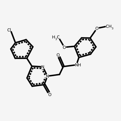 COc1ccc(NC(=O)Cn2nc(-c3ccc(Cl)cc3)ccc2=O)c(OC)c1